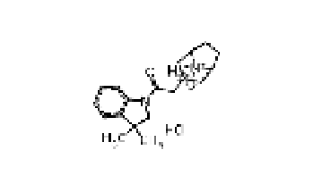 CC1(C)CN(C(=O)CC2CC3CCC(C2)[N+]3(C)[O-])c2ccccc21.Cl